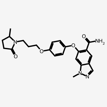 CC1CCC(=O)N1CCCOc1ccc(Oc2cc3c(cnn3C)cc2C(N)=O)cc1